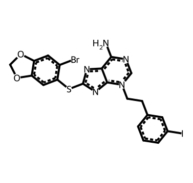 Nc1ncn(CCc2cccc(I)c2)c2nc(Sc3cc4c(cc3Br)OCO4)nc1-2